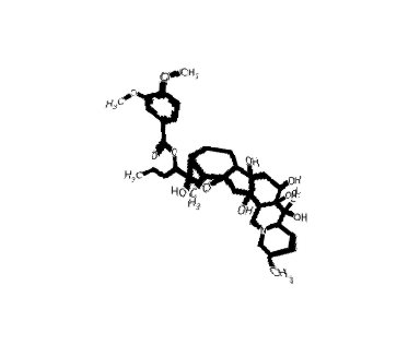 CCCC(OC(=O)c1ccc(OC)c(OC)c1)C1(O)OC23CC4(O)C5CN6CC(C)CCC6C(C)(O)C5(O)C(O)CC4(O)C2CCC1C3C